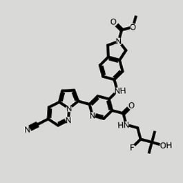 COC(=O)N1Cc2ccc(Nc3cc(-c4ccc5cc(C#N)cnn45)ncc3C(=O)NCC(F)C(C)(C)O)cc2C1